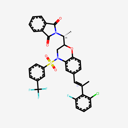 C/C(=C\c1ccc2c(c1)N(S(=O)(=O)c1cccc(C(F)(F)F)c1)CC([C@@H](C)N1C(=O)c3ccccc3C1=O)O2)c1c(F)cccc1Cl